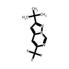 CC(C)(C)c1cc2cc(C(F)(F)F)ncn2n1